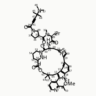 CCn1c(-c2cccnc2[C@H](C)OC)c2c3cc(ccc31)-c1csc(n1)C[C@H](NC(=O)[C@H](C(C)C)N(C)C(=O)[C@H]1CCN(C(=O)C#CC(C)(C)N(C)C)C1)C(=O)N1CCC[C@H](N1)C(=O)OCC(C)(C)C2